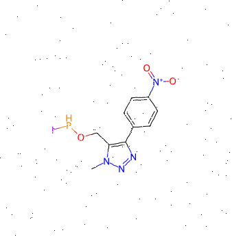 Cn1nnc(-c2ccc([N+](=O)[O-])cc2)c1COPI